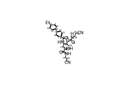 CCc1ccc(-c2ccc(C(=O)NC(CN(O)C(=O)NCCC#N)C(C)OC(=O)NCCC#N)cc2)cc1